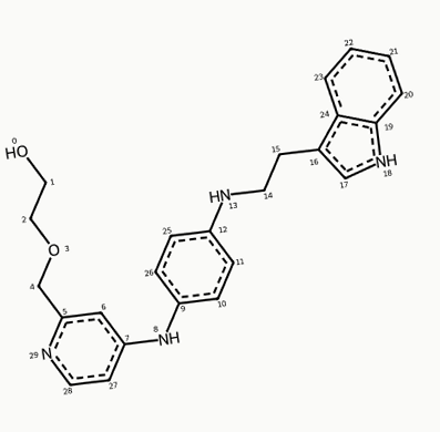 OCCOCc1cc(Nc2ccc(NCCc3c[nH]c4ccccc34)cc2)ccn1